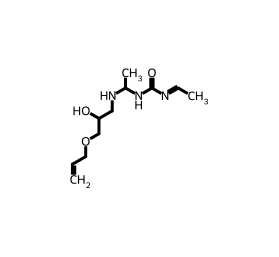 C=CCOCC(O)CNC(C)NC(=O)N=CC